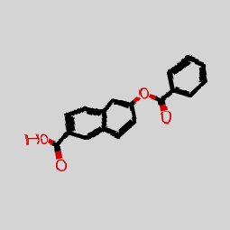 O=C(O)c1ccc2cc(OC(=O)c3ccccc3)ccc2c1